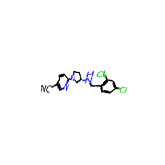 N#Cc1ccc(N2CC[C@@H](NCc3ccc(Cl)cc3Cl)C2)nc1